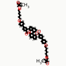 CCC1(COCCCCCCOc2ccc(-c3ccc(C(=O)Oc4ccc5ccccc5c4-c4c(OC(=O)c5ccc(-c6ccc(OCCCCCCOCC7(CC)COC7)cc6)cc5)ccc5ccccc45)cc3)cc2)COC1